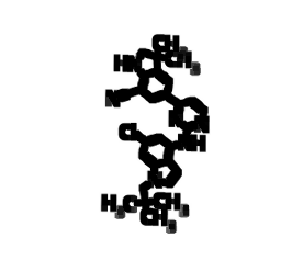 CC(C)(C)Cn1ccc2c(Nc3nccc(-c4cc(C#N)c5c(c4)C(C)(C)CN5)n3)cc(Cl)cc21